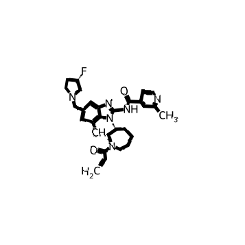 C=CC(=O)N1CCCC[C@@H](n2c(NC(=O)c3ccnc(C)c3)nc3cc(CN4CC[C@H](F)C4)cc(C)c32)C1